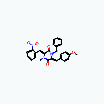 COc1ccc(/C=c2/c(=O)n(C)/c(=C\c3ccccc3[N+](=O)[O-])c(=O)n2Cc2ccccc2)cc1